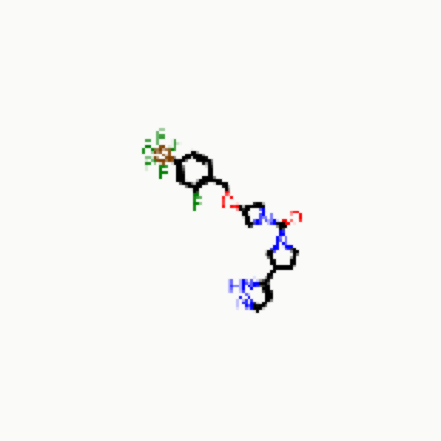 O=C(N1CC(OCc2ccc(S(F)(F)(F)(F)F)cc2F)C1)N1CCC(c2ccn[nH]2)C1